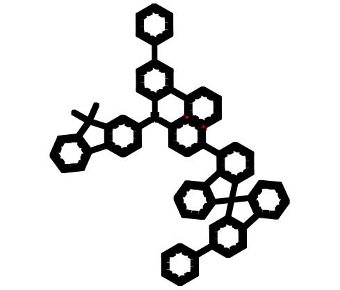 CC1(C)c2ccccc2-c2ccc(N(c3ccc(-c4cccc5c4-c4ccccc4C54c5ccccc5-c5ccc(-c6ccccc6)cc54)cc3)c3ccc(-c4ccccc4)cc3-c3ccccc3)cc21